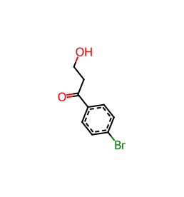 O=C(CCO)c1ccc(Br)cc1